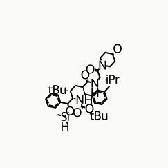 Cc1cccc(C[C@@H](C[C@H]([C@H](NC(=O)OC(C)(C)C)C(O[SiH](C)C)c2ccccc2)C(C)(C)C)C(=O)N[C@H](C(=O)N2CCC(=O)CC2)C(C)C)c1